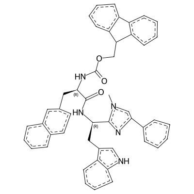 Cn1cc(-c2ccccc2)nc1[C@@H](Cc1c[nH]c2ccccc12)NC(=O)[C@@H](Cc1ccc2ccccc2c1)NC(=O)OCC1c2ccccc2-c2ccccc21